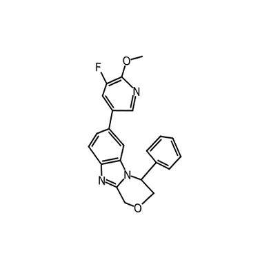 COc1ncc(-c2ccc3nc4n(c3c2)C(c2ccccc2)COC4)cc1F